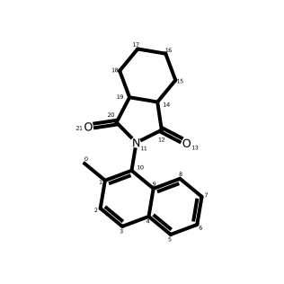 Cc1ccc2ccccc2c1N1C(=O)C2CCCCC2C1=O